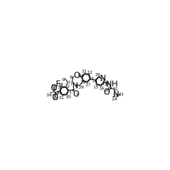 CCc1c(C(=O)N2CCOc3ccc(-c4ccc(NC(=O)CN(C)C)nc4)cc3C2)ccc(S(C)(=O)=O)c1F